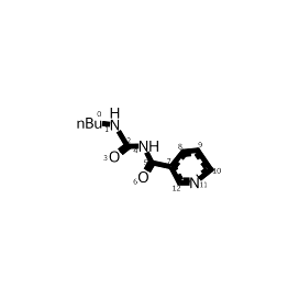 CCCCNC(=O)NC(=O)c1cccnc1